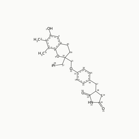 Cc1c(O)cc2c(c1C)OC(COc1ccc(CC3SC(=O)NC3=O)cc1)(CC(C)C)CC2